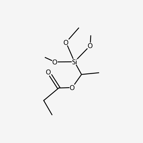 CCC(=O)OC(C)[Si](OC)(OC)OC